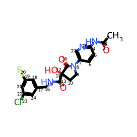 CC(=O)Nc1ccc(N2CC[C@](O)(C(=O)NCc3cc(F)cc(Cl)c3)C2=O)cn1